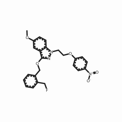 COc1ccc2c(c1)c(OCc1ccccc1CF)nn2CCOc1ccc([N+](=O)[O-])cc1